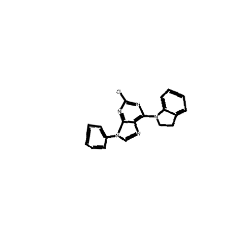 Clc1nc(N2CCc3ccccc32)c2ncn(-c3ccccc3)c2n1